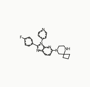 Fc1ccc(-c2nc3ccc(N4CCNC5(CCC5)C4)nc3n2-c2ccncc2)cc1